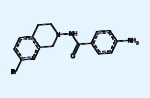 Nc1ccc(C(=O)NN2CCc3ccc(Br)cc3C2)cc1